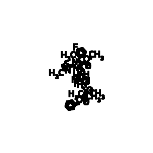 CCOC(=O)C1=C(CN2CC(F)(F)[C@H]3[C@@H]2CCN3C[C@@H](OC)C(C)(C)C(=O)OCc2ccccc2)NC(c2nc(C)cs2)=N[C@H]1c1cccc(F)c1C